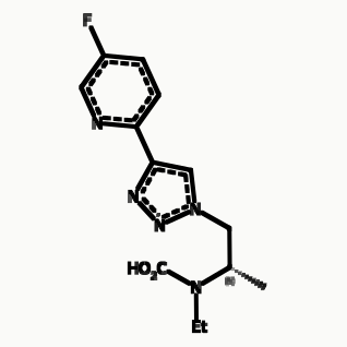 CCN(C(=O)O)[C@@H](C)Cn1cc(-c2ccc(F)cn2)nn1